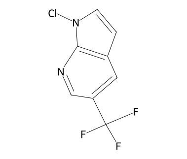 FC(F)(F)c1cnc2c(ccn2Cl)c1